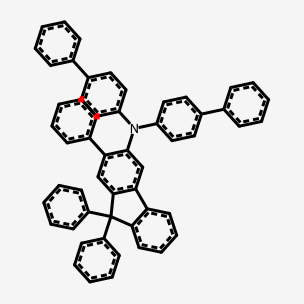 c1ccc(-c2ccc(N(c3ccc(-c4ccccc4)cc3)c3cc4c(cc3-c3ccccc3)C(c3ccccc3)(c3ccccc3)c3ccccc3-4)cc2)cc1